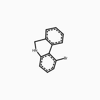 Brc1cccc2c1-c1ccccc1CN2